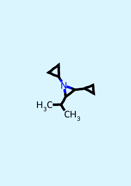 CC(C)C1C(C2CC2)N1C1CC1